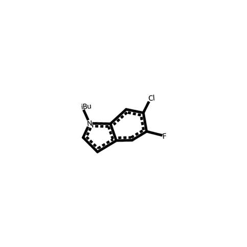 C[CH]C(C)n1ccc2cc(F)c(Cl)cc21